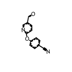 N#Cc1ccc(Oc2ccc(C=O)cn2)cc1